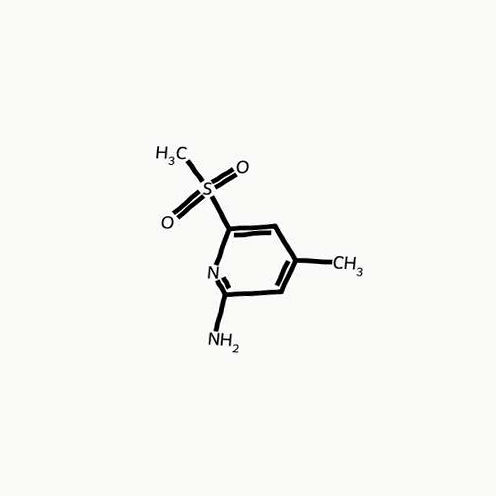 Cc1cc(N)nc(S(C)(=O)=O)c1